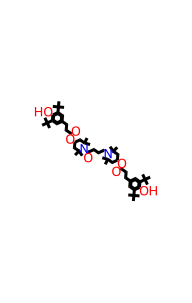 CC(C)(C)c1cc(CCC(=O)OC2CC(C)(C)N(CCCC(=O)N3C(C)(C)CC(OC(=O)CCc4cc(C(C)(C)C)c(O)c(C(C)(C)C)c4)CC3(C)C)C(C)(C)C2)cc(C(C)(C)C)c1O